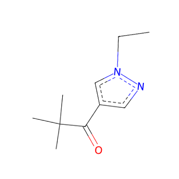 CCn1cc(C(=O)C(C)(C)C)cn1